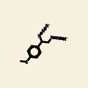 CSc1ccc(C(CN=[N+]=[N-])N=[N+]=[N-])cc1